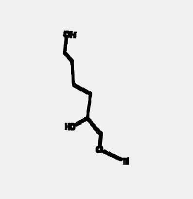 OCCCCC(O)C[O][Ti]